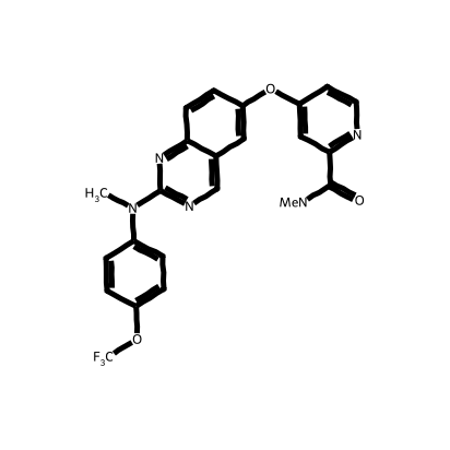 CNC(=O)c1cc(Oc2ccc3nc(N(C)c4ccc(OC(F)(F)F)cc4)ncc3c2)ccn1